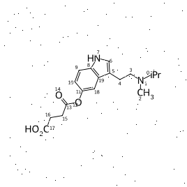 CC(C)N(C)CCc1c[nH]c2ccc(OC(=O)CCC(=O)O)cc12